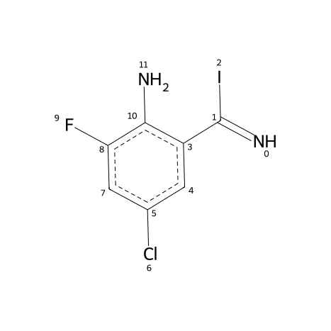 N=C(I)c1cc(Cl)cc(F)c1N